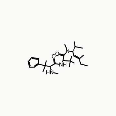 CC/C(C)=C/[C@H](C(C)C)N(C)C(=O)[C@@H](NC(=O)[C@@H](NC)C(C)(C)c1ccccc1)C(C)(C)C